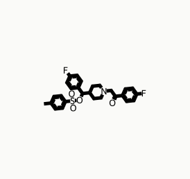 Cc1ccc(S(=O)(=O)OC(c2ccc(F)cc2)C2CCN(CC(=O)c3ccc(F)cc3)CC2)cc1